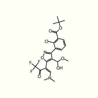 COC(O)c1c(-c2cccc(C(=O)OC(C)(C)C)c2Cl)noc1/C(=C/N(C)C)C(=O)C(F)(F)F